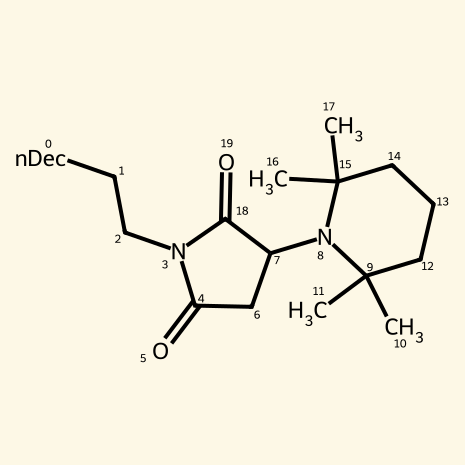 CCCCCCCCCCCCN1C(=O)CC(N2C(C)(C)CCCC2(C)C)C1=O